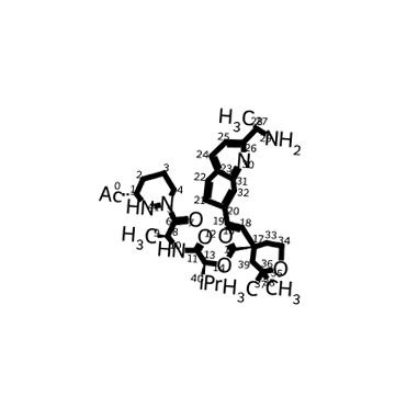 CC(=O)[C@@H]1CCCN(C(=O)[C@H](C)NC(=O)[C@@H](OC(=O)[C@@]2(/C=C/c3ccc4ccc([C@@H](C)N)nc4c3)CCOC(C)(C)C2)C(C)C)N1